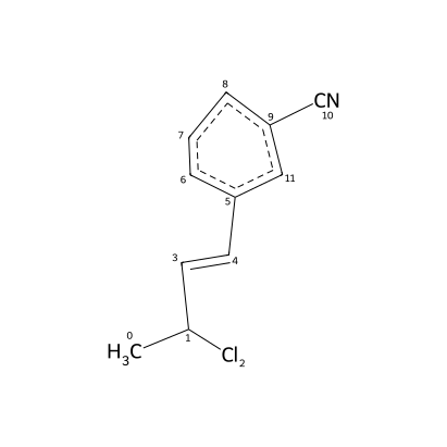 CC(Cl)C=Cc1cccc(C#N)c1